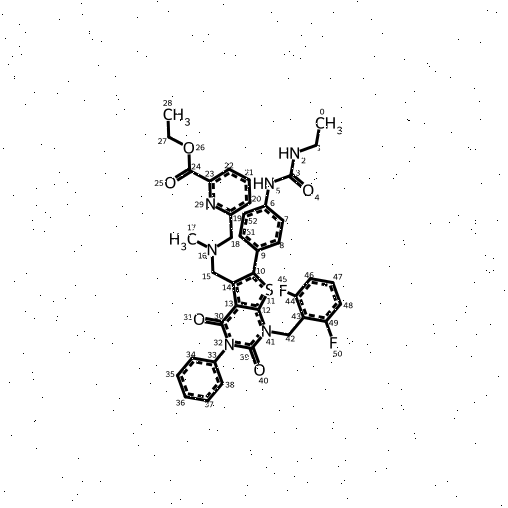 CCNC(=O)Nc1ccc(-c2sc3c(c2CN(C)Cc2cccc(C(=O)OCC)n2)c(=O)n(-c2ccccc2)c(=O)n3Cc2c(F)cccc2F)cc1